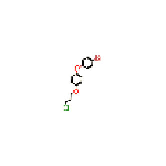 ClCCCOc1ccc(Oc2ccc(Br)cc2)cc1